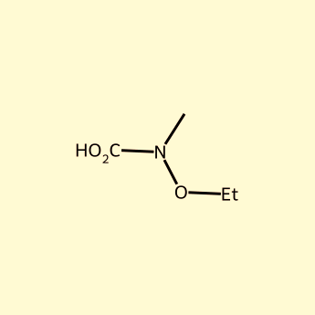 CCON(C)C(=O)O